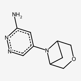 Nc1cc(N2C3COCC2C3)cnn1